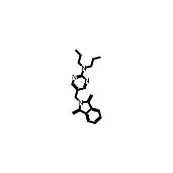 C=c1c2ccccc2c(=C)n1Cc1cnc(N(CCC)CCC)nc1